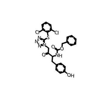 O=C(NC(Cc1ccc(O)cc1)C(=O)Cn1nnnc1Sc1c(Cl)cccc1Cl)OCc1ccccc1